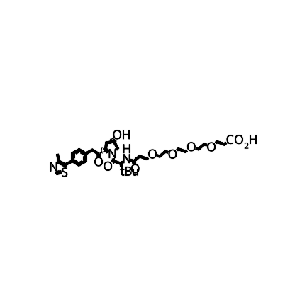 Cc1ncsc1-c1ccc(CC(=O)[C@@H]2C[C@@H](O)CN2C(=O)C(NC(=O)CCOCCOCCOCCOCCC(=O)O)C(C)(C)C)cc1